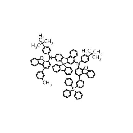 Cc1cccc(-c2ccc(N(c3ccc(C(C)(C)C)cc3)c3ccc4c(c3)C3(c5ccccc5-c5ccccc53)c3cc(N(c5ccc(C(C)(C)C)cc5)c5ccc(-c6cccc([Si](c7ccccc7)(c7ccccc7)c7ccccc7)c6)c6c5oc5ccccc56)c5ccccc5c3-4)c3oc4ccccc4c23)c1